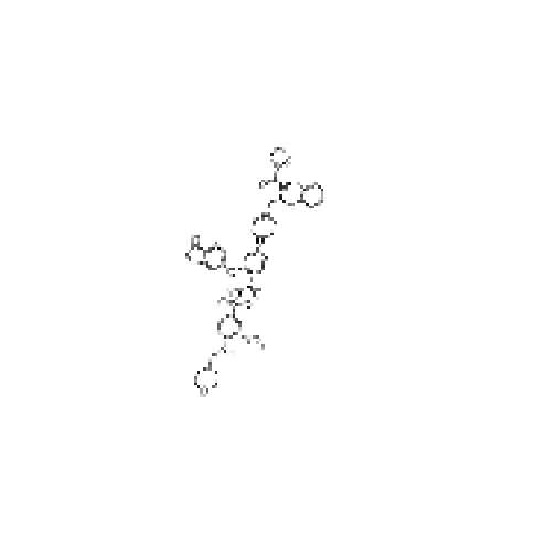 O=C(NS(=O)(=O)c1ccc(NCC2CCOCC2)c([N+](=O)[O-])c1)c1ccc(N2CCN(C[C@@H]3Cc4ccccc4CN3C(=O)c3cccs3)CC2)cc1Oc1cnc2[nH]ccc2c1